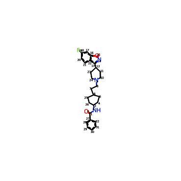 O=C(NC1CCC(CCN2CCC(c3noc4cc(F)ccc34)CC2)CC1)c1ccccc1